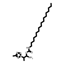 CCCCCCCCCCCCCCCCCCNC(=O)OC(N)C(C)n1nnc(C)n1